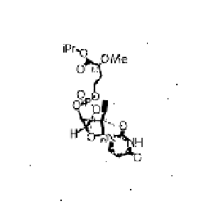 C#C[C@@]1(C)[C@H](n2ccc(=O)[nH]c2=O)O[C@@H]2C3O[P@@](=O)(OCC[C@H](OC)C(=O)OC(C)C)O[C@]321